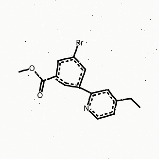 CCc1ccnc(-c2cc(Br)cc(C(=O)OC)c2)c1